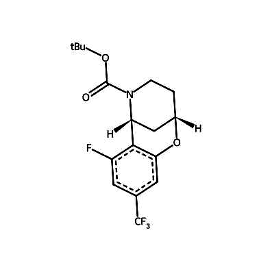 CC(C)(C)OC(=O)N1CC[C@H]2C[C@@H]1c1c(F)cc(C(F)(F)F)cc1O2